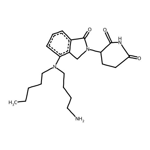 CCCCCN(CCCCN)c1cccc2c1CN(C1CCC(=O)NC1=O)C2=O